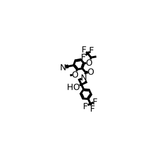 COc1c(C#N)ccc(OC(C)C(F)(F)F)c1C(=O)N1CC(O)(c2ccc(C(F)(F)F)cc2)C1